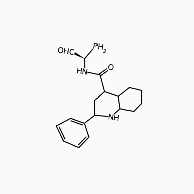 O=C[C@@H](P)NC(=O)C1CC(c2ccccc2)NC2CCCCC21